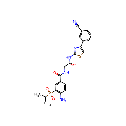 CC(C)S(=O)(=O)c1cc(C(=O)NCC(=O)Nc2nc(-c3cccc(C#N)c3)cs2)ccc1N